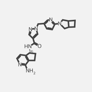 Nc1nccc2c1CC[C@H]2NC(=O)c1cnn(Cc2ccc(N3CC4CCC4C3)nc2)c1